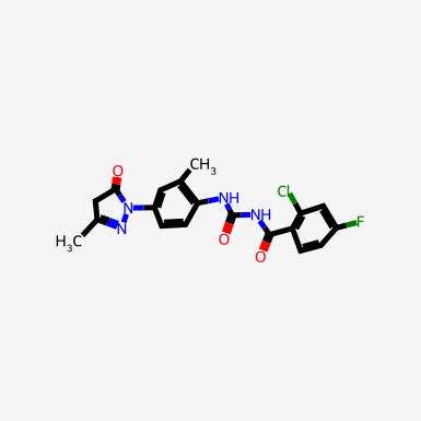 CC1=NN(c2ccc(NC(=O)NC(=O)c3ccc(F)cc3Cl)c(C)c2)C(=O)C1